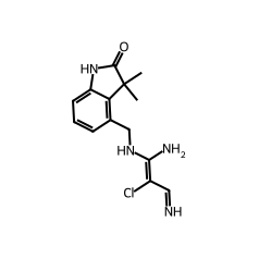 CC1(C)C(=O)Nc2cccc(CN/C(N)=C(\Cl)C=N)c21